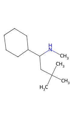 CNC(CC(C)(C)C)C1CCCCC1